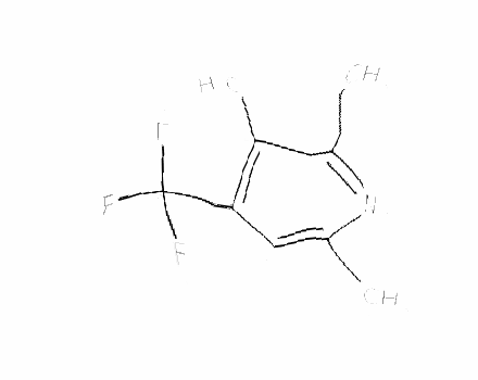 Cc1cc(C(F)(F)F)c(C)c(C)n1